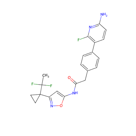 CC(F)(F)C1(c2cc(NC(=O)Cc3ccc(-c4ccc(N)nc4F)cc3)on2)CC1